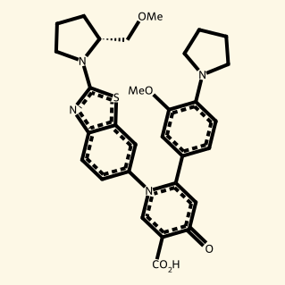 COC[C@H]1CCCN1c1nc2ccc(-n3cc(C(=O)O)c(=O)cc3-c3ccc(N4CCCC4)c(OC)c3)cc2s1